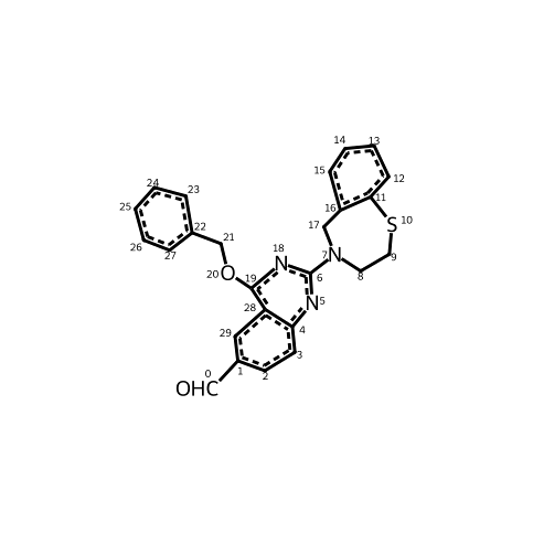 O=Cc1ccc2nc(N3CCSc4ccccc4C3)nc(OCc3ccccc3)c2c1